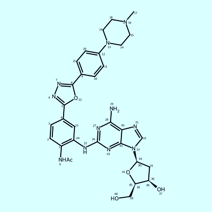 CC(=O)Nc1ccc(-c2nnc(-c3ccc(N4CCN(C)CC4)cc3)o2)cc1Nc1nc(N)c2ncn([C@H]3C[C@@H](O)[C@@H](CO)O3)c2n1